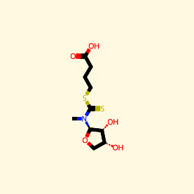 CN(C(=S)SCCCC(=O)O)[C@@H]1OC[C@@H](O)[C@H]1O